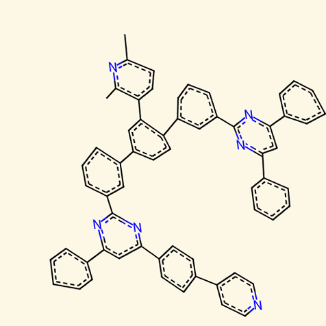 Cc1ccc(-c2cc(-c3cccc(-c4nc(-c5ccccc5)cc(-c5ccc(-c6ccncc6)cc5)n4)c3)ccc2-c2cccc(-c3nc(-c4ccccc4)cc(-c4ccccc4)n3)c2)c(C)n1